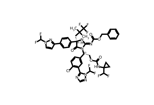 CC(C)(C[C@]1(c2ccc(-c3ccn(C(F)F)n3)cc2)NC(=NC(=O)OCc2ccccc2)N([C@H](COC(=O)NC2(C(F)F)CC2)c2ccc(Cl)c(-c3ncnn3C(F)F)c2)C1=O)C(F)(F)F